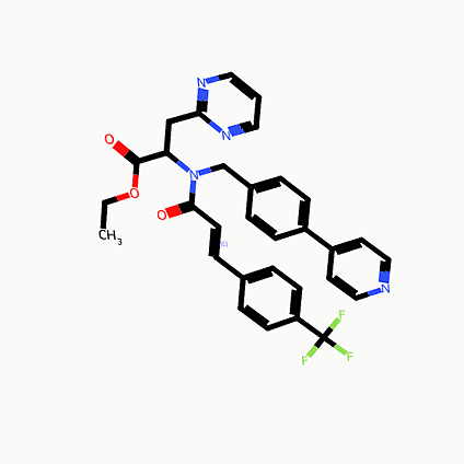 CCOC(=O)C(Cc1ncccn1)N(Cc1ccc(-c2ccncc2)cc1)C(=O)/C=C/c1ccc(C(F)(F)F)cc1